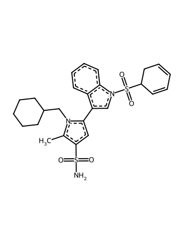 Cc1c(S(N)(=O)=O)cc(-c2cn(S(=O)(=O)C3C=CC=CC3)c3ccccc23)n1CC1CCCCC1